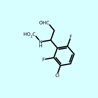 O=CCC(NC(=O)O)c1c(F)ccc(Cl)c1F